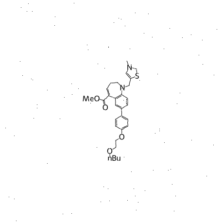 CCCCOCCOc1ccc(-c2ccc3c(c2)C(C(=O)OC)=CCCN3CC2=CN(C)CS2)cc1